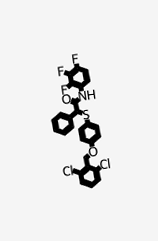 O=C(Nc1ccc(F)c(F)c1F)C(Sc1ccc(OCc2c(Cl)cccc2Cl)cc1)c1ccccc1